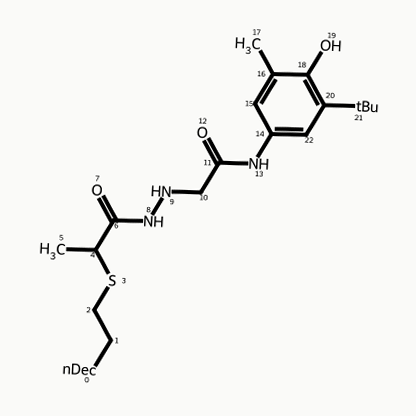 CCCCCCCCCCCCSC(C)C(=O)NNCC(=O)Nc1cc(C)c(O)c(C(C)(C)C)c1